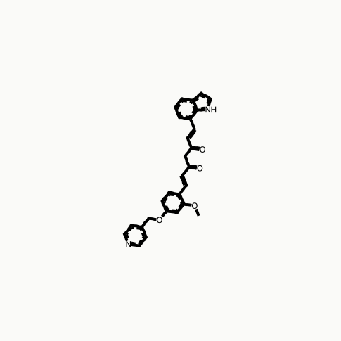 COc1cc(OCc2ccncc2)ccc1/C=C/C(=O)CC(=O)/C=C/c1cccc2cc[nH]c12